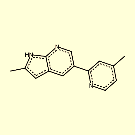 Cc1ccnc(-c2cnc3[nH]c(C)cc3c2)c1